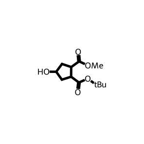 COC(=O)C1CC(O)CC1C(=O)OC(C)(C)C